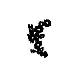 CC(C)(/C=C(/C#N)C(=O)N1CCC(n2c(=O)n(-c3ccc(Oc4ccccc4)cc3)c3c(N)ncnc32)CC1)N1CCC1